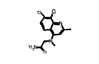 Cc1cc(N(C)CC(N)=O)c2ccc(Cl)c(Cl)c2n1